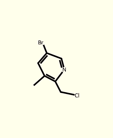 Cc1cc(Br)cnc1CCl